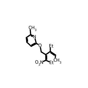 C/C=C(CC)\C(COc1cccc(C)n1)=C(/CC)[N+](=O)[O-]